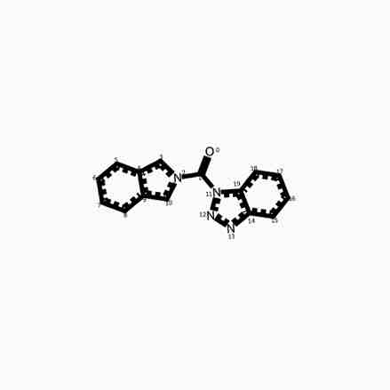 O=C(n1cc2ccccc2c1)n1nnc2ccccc21